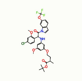 COc1cc(NC(C(=O)n2ccc3ccc(OC(F)(F)F)cc32)c2ccc(Cl)cc2OC)cc(OCCC(C)C(=O)OC(C)(C)C)c1